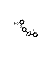 Oc1ccccc1Oc1ccc(-c2nc(-c3ccccc3F)co2)cc1